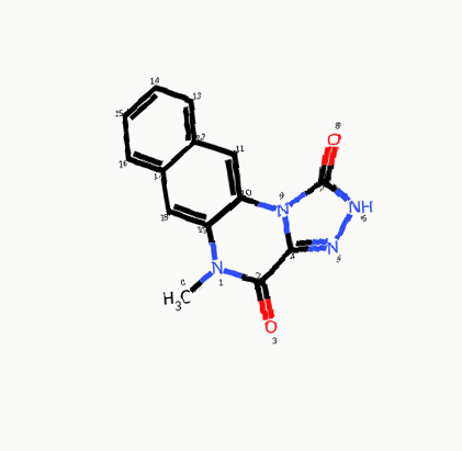 Cn1c(=O)c2n[nH]c(=O)n2c2cc3ccccc3cc21